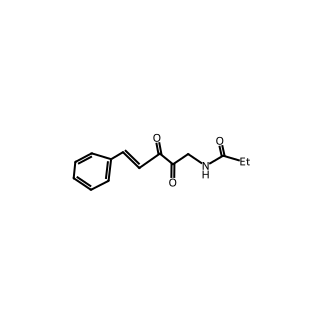 CCC(=O)NCC(=O)C(=O)/C=C/c1ccccc1